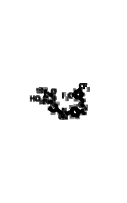 CC(=NOCc1cc(C(F)(F)F)cc(C(F)(F)F)c1)c1ccc(-c2noc(C3CCN(C(=NC(=O)OC(C)(C)C)NC(=O)O)C3)n2)cc1